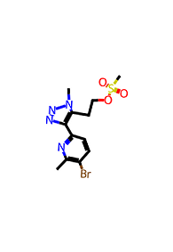 Cc1nc(-c2nnn(C)c2CCOS(C)(=O)=O)ccc1Br